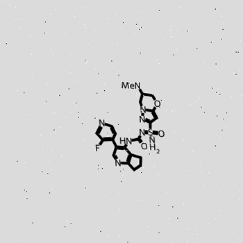 CNC1COc2cc(S(N)(=O)=NC(=O)Nc3c(-c4ccncc4F)cnc4c3CCC4)nn2C1